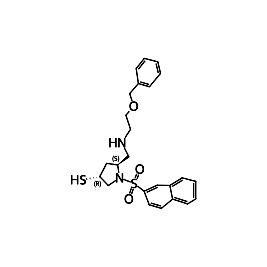 O=S(=O)(c1ccc2ccccc2c1)N1C[C@H](S)C[C@H]1CNCCOCc1ccccc1